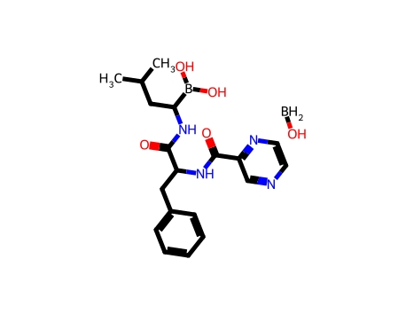 BO.CC(C)CC(NC(=O)C(Cc1ccccc1)NC(=O)c1cnccn1)B(O)O